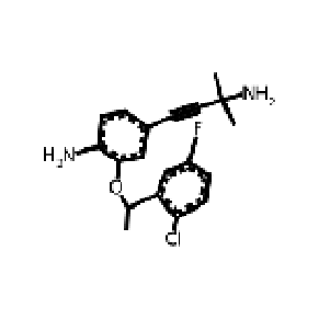 CC(Oc1cc(C#CC(C)(C)N)ccc1N)c1cc(F)ccc1Cl